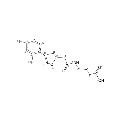 O=C(O)CCCNC(=O)CC1CC(c2ccc(F)cc2F)=NO1